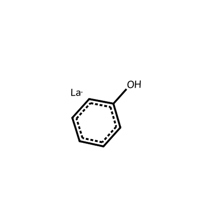 Oc1ccccc1.[La]